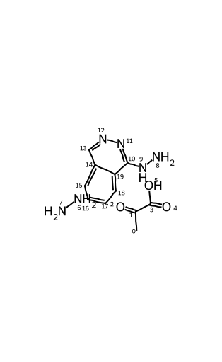 CC(=O)C(=O)O.NN.NNc1nncc2ccccc12